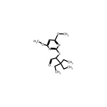 CCC(CC)(CC)C(C=O)Sc1nc(OC)cc(OC)n1